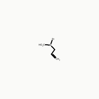 C=CCN(CC)C(=O)O